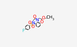 CCOC(=O)CN1C(=O)CN(S(=O)(=O)c2ccc(F)cc2)c2ccccc21